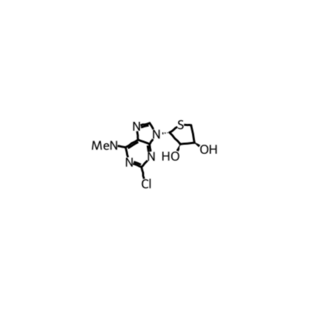 CNc1nc(Cl)nc2c1ncn2[C@@H]1SC[C@@H](O)[C@H]1O